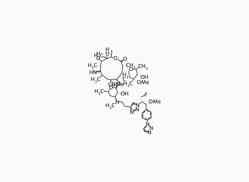 CO[C@H](c1ccc(-n2ccnn2)cc1)[C@@H](CF)n1cc(CCN(C)[C@H]2C[C@@H](C)O[C@@H](O[C@@H]3[C@@H](C)C([C@H]4C[C@@](C)(OC)[C@@H](O)[C@H](C)O4)[C@@H](C)C(=O)O[C@H](I)[C@@](C)(O)[C@H](O)[C@@H](C)C(=N)[C@H](C)C[C@@]3(C)OC)[C@@H]2O)nn1